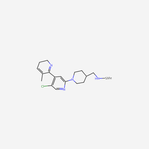 CSNCC1CCN(c2cc(C3=NCCC=C3C)c(Cl)cn2)CC1